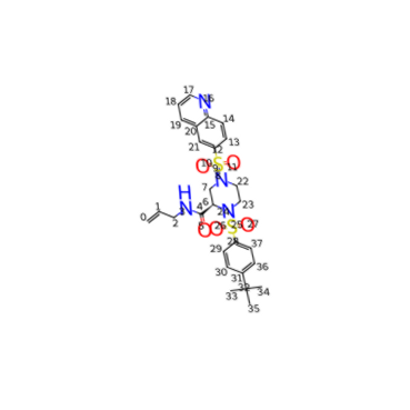 C=CCNC(=O)[C@H]1CN(S(=O)(=O)c2ccc3ncccc3c2)CCN1S(=O)(=O)c1ccc(C(C)(C)C)cc1